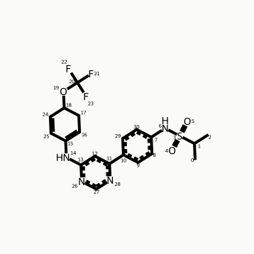 CC(C)S(=O)(=O)Nc1ccc(-c2cc(NC3=CCC(OC(F)(F)F)C=C3)ncn2)cc1